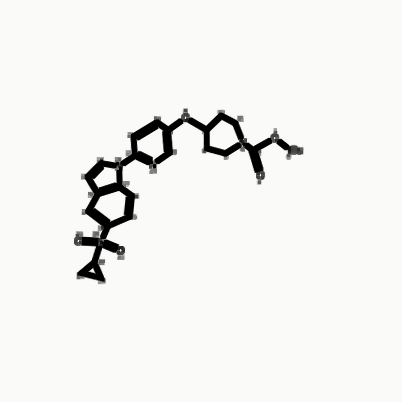 CC(C)(C)OC(=O)N1CCC(Oc2ccc(-n3ccc4cc(S(=O)(=O)C5CC5)ccc43)nc2)CC1